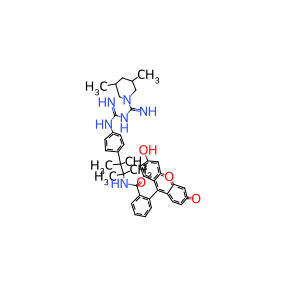 CC1CC(C)CN(C(=N)NC(=N)Nc2ccc(C(C)(C)C(C)(C)NC(=O)c3ccccc3-c3c4ccc(=O)cc-4oc4cc(O)ccc34)cc2)C1